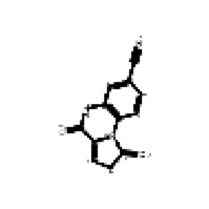 N#Cc1ccc2c(c1)NC(=O)C1=CCC(=O)N12